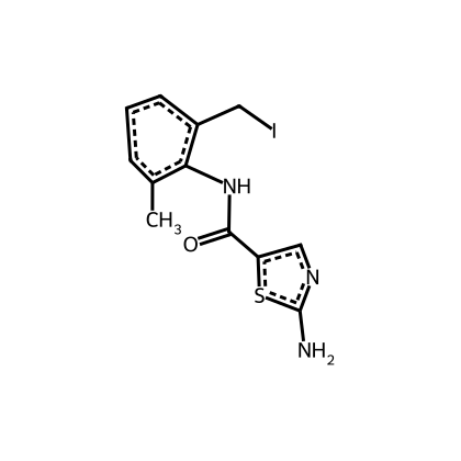 Cc1cccc(CI)c1NC(=O)c1cnc(N)s1